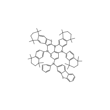 CC1(C)CCC(C)(C)c2cc(N3c4cc5c(cc4B4c6sc7cc8c(cc7c6N(c6ccc7c(c6)C(C)(C)CCC7(C)C)c6cc(N(c7ccccc7)c7ccc9c(c7)sc7ccccc79)cc3c64)C(C)(C)CCC8(C)C)C(C)(C)CCC5(C)C)ccc21